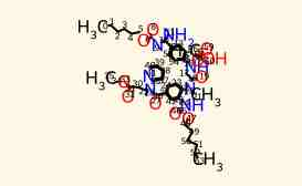 CCCCCCOC(=O)N=C(N)c1ccc(NCC(=O)N(C)c2ccc(C(=O)N(CCC(=O)OCC)c3ccccn3)cc2NC(=O)OCCCCCC)cc1.CS(=O)(=O)O